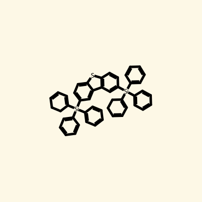 C1=CCCC([Si](c2ccccc2)(c2ccccc2)c2ccc3sc4ccc([Si](C5=CC=CCC5)(c5ccccc5)c5ccccc5)cc4c3c2)=C1